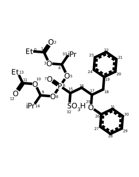 CCC(=O)OC(OP(=O)(OC(OC(=O)CC)C(C)C)C(CC(Cc1ccccc1)Oc1ccccc1)S(=O)(=O)O)C(C)C